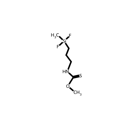 COC(=S)NCCC[Si](C)(F)F